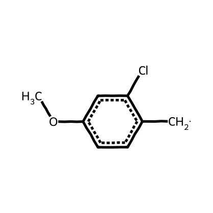 [CH2]c1ccc(OC)cc1Cl